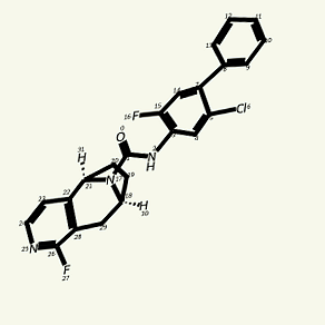 O=C(Nc1cc(Cl)c(-c2ccccc2)cc1F)N1[C@H]2CC[C@@H]1c1ccnc(F)c1C2